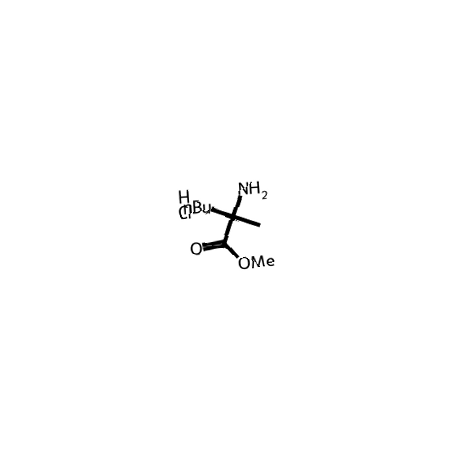 CCCCC(C)(N)C(=O)OC.Cl